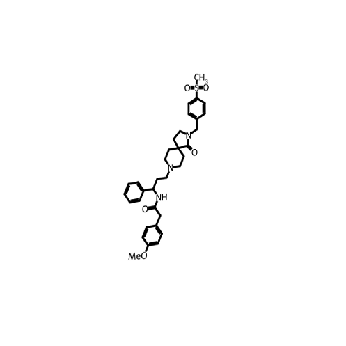 COc1ccc(CC(=O)NC(CCN2CCC3(CC2)CCN(Cc2ccc(S(C)(=O)=O)cc2)C3=O)c2ccccc2)cc1